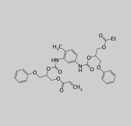 C=CC(=O)OCC(COc1ccccc1)OC(=O)Nc1cc(NC(=O)OC(COC(=O)CC)COc2ccccc2)ccc1C